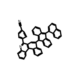 N#Cc1ccc(-c2nc3ccccc3c3c2cc(-c2c4ccccc4c(-c4cccc5ccccc45)c4ccccc24)c2ccccc23)cc1